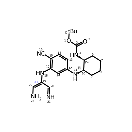 CC(C)(C)OC(=O)N[C@H]1CCCC[C@H]1Nc1ccc(C#N)c(N/C(C=N)=C/N)c1